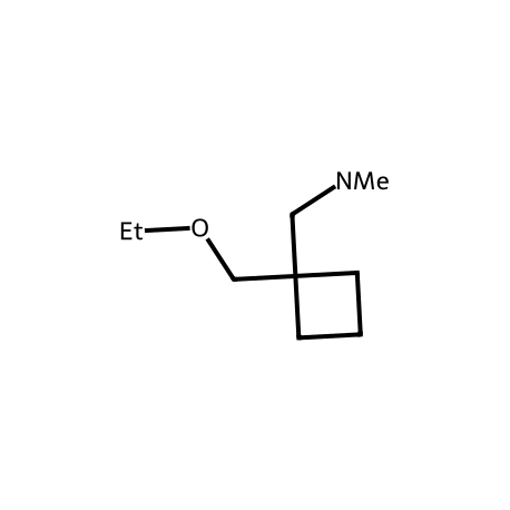 CCOCC1(CNC)CCC1